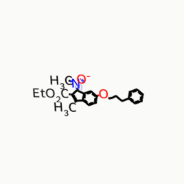 CCOC(=O)C1=C(C)c2ccc(OCCCc3ccccc3)cc2/C1=[N+](/C)[O-]